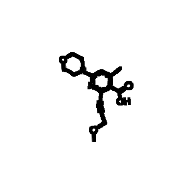 COCC#Cc1nc(N2CCOCC2)cc(C)c1C(=O)O